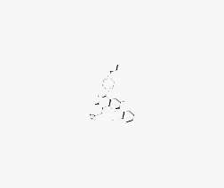 C=CC(=O)N1CCN(C2=NC(=O)C(CC3CC3)c3nc(-c4c(O)cccc4F)c(Cl)cc32)CC1